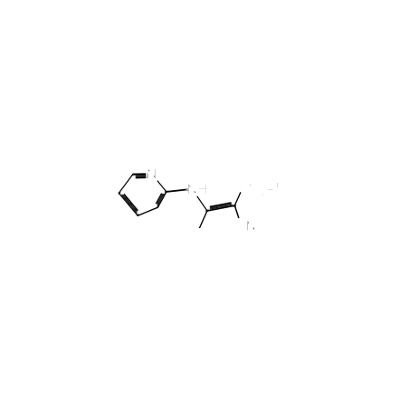 CCOC(=O)/C(C#N)=C(/C)Nc1ccccn1